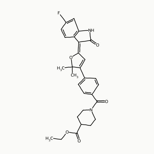 CCOC(=O)C1CCN(C(=O)c2ccc(C3=C/C(=C4\C(=O)Nc5cc(F)ccc54)OC3(C)C)cc2)CC1